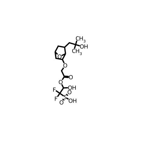 CC(C)(O)CC1CC2CC(OCC(=O)OC(O)C(F)(F)S(=O)(=O)O)C1O2